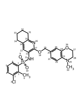 Cc1c(Cl)cccc1S(=O)(=O)Nc1cc2c(nc1OCc1ccc3c(c1)OCCN3C)CCCC2